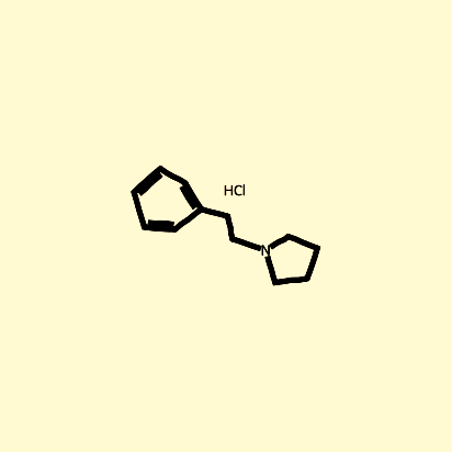 Cl.c1ccc(CCN2CCCC2)cc1